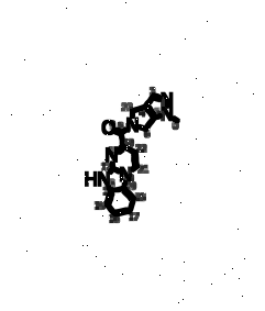 Cn1ncc2c1CN(C(=O)C1=NC3Nc4ccccc4N3C=C1)C2